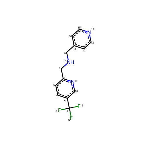 FC(F)(F)c1ccc(CNCc2ccncc2)nc1